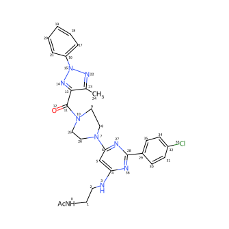 CC(=O)NCCNc1cc(N2CCN(C(=O)c3nn(-c4ccccc4)nc3C)CC2)nc(-c2ccc(Cl)cc2)n1